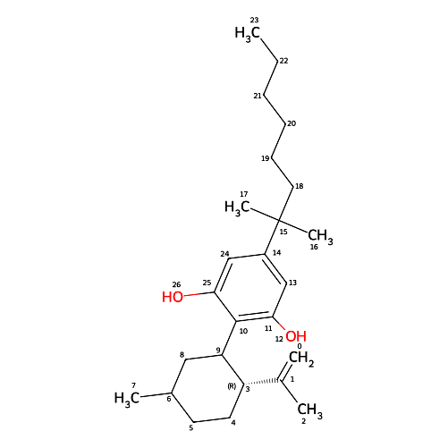 C=C(C)[C@@H]1CCC(C)CC1c1c(O)cc(C(C)(C)CCCCCC)cc1O